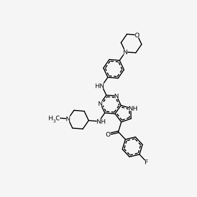 CN1CCC(Nc2nc(Nc3ccc(N4CCOCC4)cc3)nc3[nH]cc(C(=O)c4ccc(F)cc4)c23)CC1